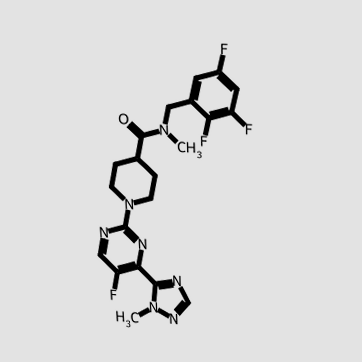 CN(Cc1cc(F)cc(F)c1F)C(=O)C1CCN(c2ncc(F)c(-c3ncnn3C)n2)CC1